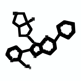 Nc1ncccc1-c1nc2ccc(-c3ccccc3)nc2n1N1CC2CNC[C@@H]2C1